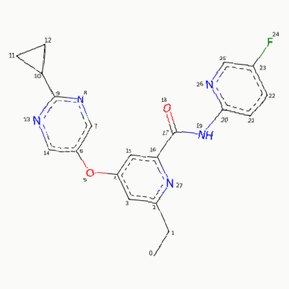 CCc1cc(Oc2cnc(C3CC3)nc2)cc(C(=O)Nc2ccc(F)cn2)n1